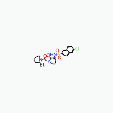 CCC1CCCCN1C(=O)CN1CCC[C@H](NS(=O)(=O)c2ccc3cc(Cl)ccc3c2)C1=O